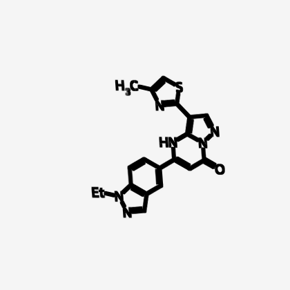 CCn1ncc2cc(-c3cc(=O)n4ncc(-c5nc(C)cs5)c4[nH]3)ccc21